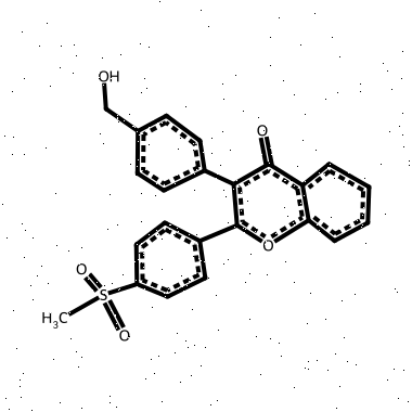 CS(=O)(=O)c1ccc(-c2oc3ccccc3c(=O)c2-c2ccc(CO)cc2)cc1